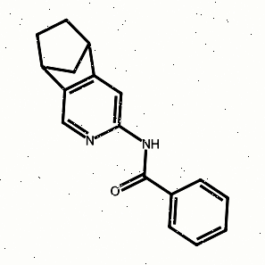 O=C(Nc1cc2c(cn1)C1CCC2C1)c1ccccc1